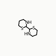 C1CNC(C2NCCCS2)SC1